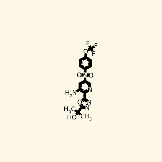 CC(C)(O)c1nnc(-c2ncc(S(=O)(=O)c3ccc(OC(F)(F)F)cc3)cc2N)o1